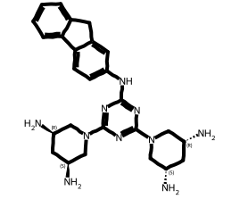 N[C@@H]1C[C@H](N)CN(c2nc(Nc3ccc4c(c3)Cc3ccccc3-4)nc(N3C[C@H](N)C[C@H](N)C3)n2)C1